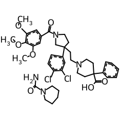 COc1cc(C(=O)N2CCC(CCN3CCC(C(=O)O)(c4ccccc4)CC3)(c3ccc(Cl)c(Cl)c3)C2)cc(OC)c1OC.NC(=O)N1CCCCC1